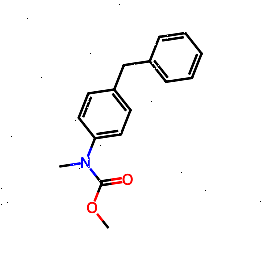 COC(=O)N(C)c1ccc(Cc2ccccc2)cc1